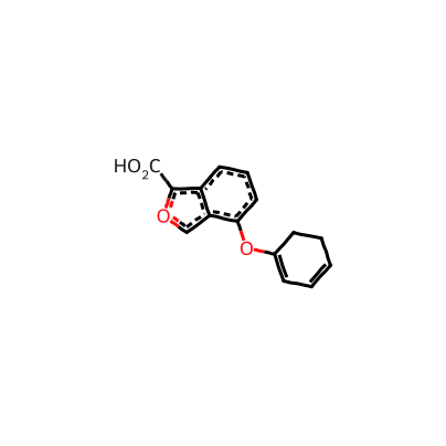 O=C(O)c1occ2c(OC3=CC=CCC3)cccc12